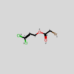 O=C(CBr)OCC=C(Cl)Cl